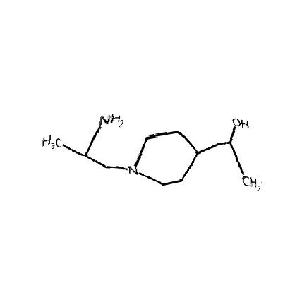 [CH2]C(O)C1CCN(CC(C)N)CC1